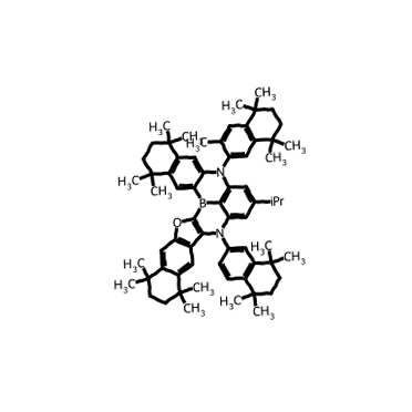 Cc1cc2c(cc1N1c3cc4c(cc3B3c5oc6cc7c(cc6c5N(c5ccc6c(c5)C(C)(C)CCC6(C)C)c5cc(C(C)C)cc1c53)C(C)(C)CCC7(C)C)C(C)(C)CCC4(C)C)C(C)(C)CCC2(C)C